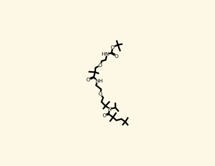 CC(C)N(C(=O)C(C)(C)CCC(C)(C)C)C(C)(C)CCOCCNC(=O)C(C)(C)COCCNC(=O)OC(C)(C)C